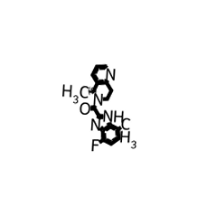 Cc1ccc(F)c2nc(C(=O)N3CCc4ncccc4[C@@H]3C)[nH]c12